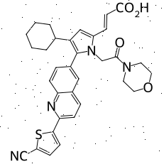 N#Cc1ccc(-c2ccc3cc(-c4c(C5CCCCC5)cc(C=CC(=O)O)n4CC(=O)N4CCOCC4)ccc3n2)s1